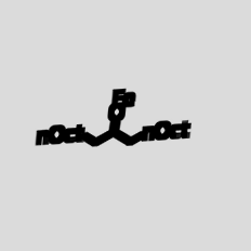 CCCCCCCCCC(=O)CCCCCCCCC.[Fe]